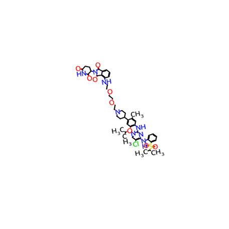 Cc1cc(Nc2ncc(Cl)c(Nc3ccccc3S(=O)(=O)C(C)C)n2)c(OC(C)C)cc1C1CCN(CCOCCOCCNc2cccc3c2C(=O)N(C2CCC(=O)NC2=O)C3=O)CC1